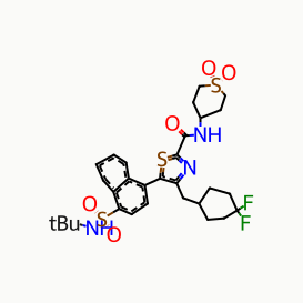 CC(C)(C)NS(=O)(=O)c1ccc(-c2sc(C(=O)NC3CCS(=O)(=O)CC3)nc2CC2CCC(F)(F)CC2)c2ccccc12